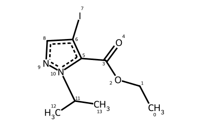 CCOC(=O)c1c(I)cnn1C(C)C